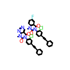 Cn1c(=O)n(-c2ccc(C#Cc3ccccc3)cc2Cl)c(=O)c2cc(F)ccc21.Cn1c(=O)n(-c2ccc(C#Cc3ccccc3)cc2Cl)c(=O)c2cncnc21